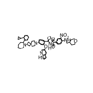 O=C(NS(=O)(=O)c1ccc(NCC2CCOCC2)c([N+](=O)[O-])c1)c1ccc(N2CCC3(CC2)CC(N2CCCCCC2c2ccccc2C2CC2)C3)cc1Oc1cnc2[nH]ccc2c1